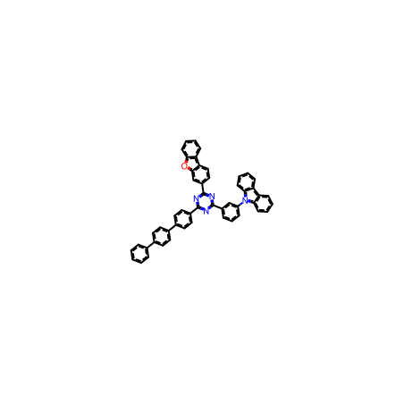 c1ccc(-c2ccc(-c3ccc(-c4nc(-c5cccc(-n6c7ccccc7c7ccccc76)c5)nc(-c5ccc6c(c5)oc5ccccc56)n4)cc3)cc2)cc1